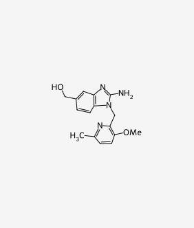 COc1ccc(C)nc1Cn1c(N)nc2cc(CO)ccc21